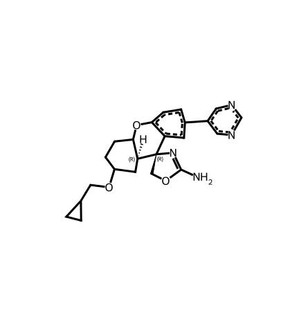 NC1=N[C@@]2(CO1)c1cc(-c3cncnc3)ccc1OC1CCC(OCC3CC3)C[C@@H]12